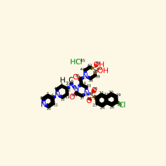 CN(C1CCN(c2ccncc2)CC1)N1C(=O)CN(S(=O)(=O)c2ccc3cc(Cl)ccc3c2)CC1C(=O)N1CCS(O)(O)CC1.Cl